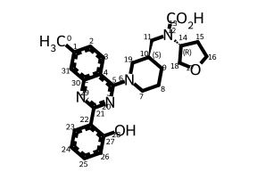 Cc1ccc2c(N3CCC[C@H](CN(C(=O)O)[C@@H]4CCOC4)C3)nc(-c3ccccc3O)nc2c1